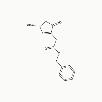 CC(=O)O[C@H]1C=C(CC(=O)OCc2ccccc2)C(=O)C1